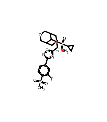 C[C@@H](OC1C2COCC1CN(S(=O)(=O)C1CC1)C2)c1nc(-c2ccc(S(C)(=O)=O)c(F)c2)no1